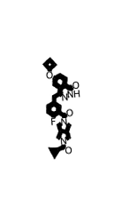 O=C(c1cc(Cc2n[nH]c(=O)c3ccc(OC4CCC4)cc23)ccc1F)N1CC2CN(C(=O)C3CC3)CC2C1